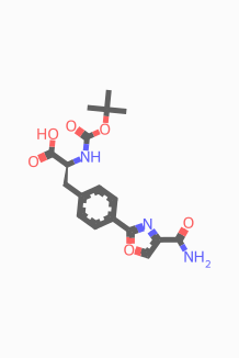 CC(C)(C)OC(=O)N[C@@H](Cc1ccc(-c2nc(C(N)=O)co2)cc1)C(=O)O